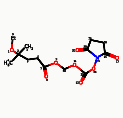 CCOC(C)(C)CCC(=O)OCOC(=O)ON1C(=O)CCC1=O